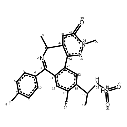 CC1N=C(c2ccc(F)cc2)c2cc(F)c(C(C)N[SH](=O)=O)cc2-c2nn(C)c(=O)cc21